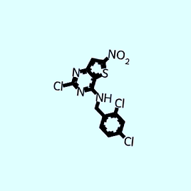 O=[N+]([O-])c1cc2nc(Cl)nc(NCc3ccc(Cl)cc3Cl)c2s1